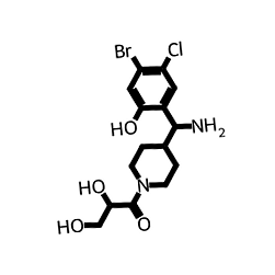 NC(c1cc(Cl)c(Br)cc1O)C1CCN(C(=O)C(O)CO)CC1